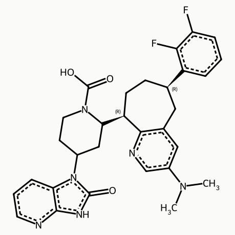 CN(C)c1cnc2c(c1)C[C@H](c1cccc(F)c1F)CC[C@@H]2C1CC(n2c(=O)[nH]c3ncccc32)CCN1C(=O)O